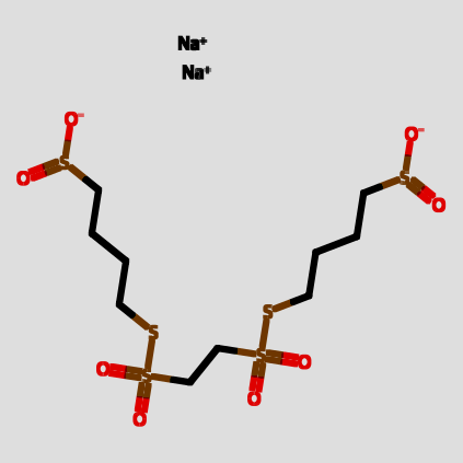 O=S([O-])CCCCSS(=O)(=O)CCS(=O)(=O)SCCCCS(=O)[O-].[Na+].[Na+]